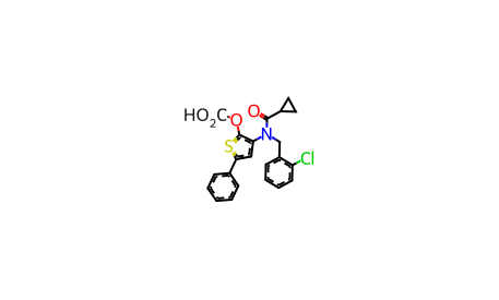 O=C(O)Oc1sc(-c2ccccc2)cc1N(Cc1ccccc1Cl)C(=O)C1CC1